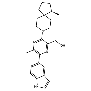 Cc1nc(N2CCC3(CCC[C@H]3C)CC2)c(CO)nc1-c1ccc2[nH]ccc2c1